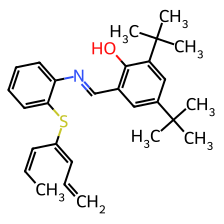 C=C/C=C(\C=C/C)Sc1ccccc1/N=C/c1cc(C(C)(C)C)cc(C(C)(C)C)c1O